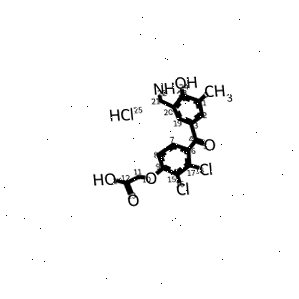 Cc1cc(C(=O)c2ccc(OCC(=O)O)c(Cl)c2Cl)cc(CN)c1O.Cl